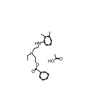 CC(=O)O.CCN(CCNc1cccc(C)c1C)CCOC(=O)c1ccccc1